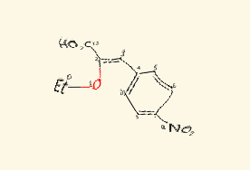 CCO/C(=C\c1ccc([N+](=O)[O-])cc1)C(=O)O